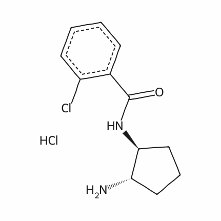 Cl.N[C@H]1CCC[C@@H]1NC(=O)c1ccccc1Cl